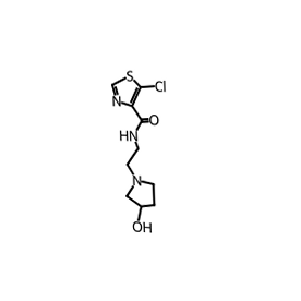 O=C(NCCN1CCC(O)C1)c1ncsc1Cl